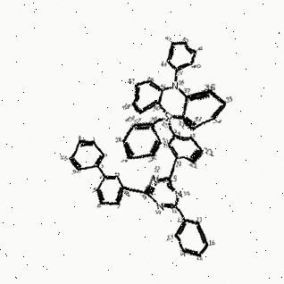 c1ccc(-c2cccc(-c3nc(-c4ccccc4)nc(-c4cccc([Si]5(c6ccccc6)c6ccccc6N(c6ccccc6)c6ccccc65)c4)n3)c2)cc1